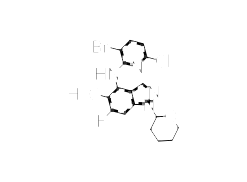 Cc1c(F)cc2c(cnn2C2CCCCO2)c1Nc1nc(Cl)ccc1Br